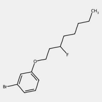 CCCCCC(F)CCOc1cccc(Br)c1